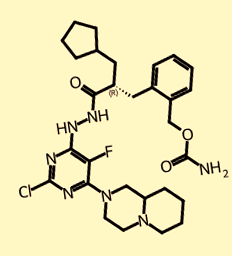 NC(=O)OCc1ccccc1C[C@@H](CC1CCCC1)C(=O)NNc1nc(Cl)nc(N2CCN3CCCCC3C2)c1F